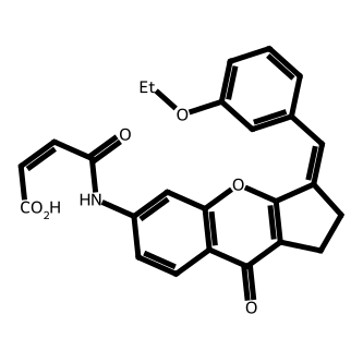 CCOc1cccc(/C=C2/CCc3c2oc2cc(NC(=O)/C=C\C(=O)O)ccc2c3=O)c1